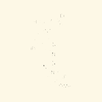 CC[S@+]([O-])C[C@H]1CN(c2ccc(C(C)C)c3cc(Nc4ccnc(N5CC[C@@H](OC)[C@@H](F)C5)n4)ncc23)[C@@H]1C